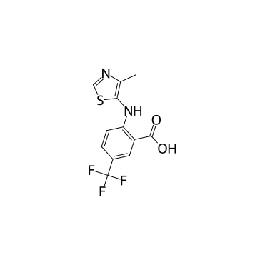 Cc1ncsc1Nc1ccc(C(F)(F)F)cc1C(=O)O